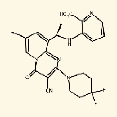 Cc1cc([C@@H](C)Nc2cccnc2C(=O)O)c2nc(N3CCC(F)(F)CC3)c(C#N)c(=O)n2c1